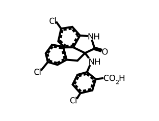 O=C(O)c1cc(Cl)ccc1NC1(Cc2cccc(Cl)c2)C(=O)Nc2cc(Cl)ccc21